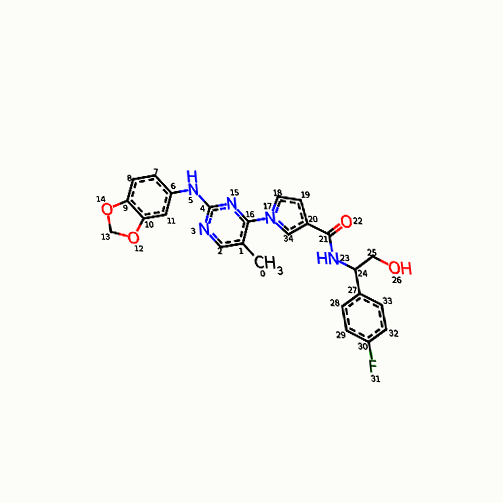 Cc1cnc(Nc2ccc3c(c2)OCO3)nc1-n1ccc(C(=O)NC(CO)c2ccc(F)cc2)c1